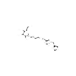 OCC1OC(CCCCOCc2cn(Cc3cnc[nH]3)nn2)C(O)C(O)C1O